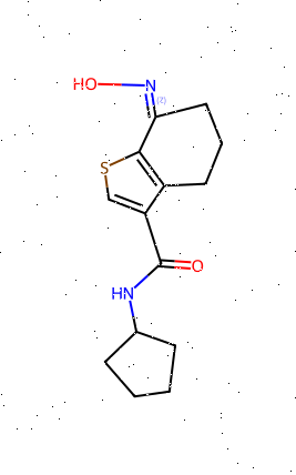 O=C(NC1CCCC1)c1csc2c1CCC/C2=N/O